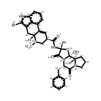 CC(C)[C@@]1(NC(=O)[C@@H]2C=C3c4cccc5[nH]c(Br)c(c45)C[C@H]3N(C)C2)O[C@@]2(O)[C@@H]3CCCN3C(=O)[C@H](Cc3ccccc3)N2C1=O